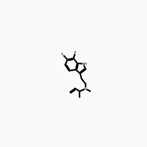 C=CC(C)N(C)CCc1c[nH]c2c(F)c(F)ccc12